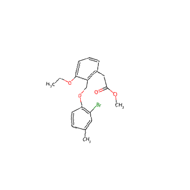 CCOc1cccc(CC(=O)OC)c1COc1ccc(C)cc1Br